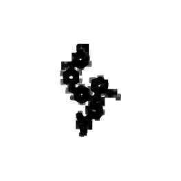 Cc1nn(C)nc1-c1ccc2nc(-c3cccnc3N)n(-c3ccc(CN4CCC(Nc5ccnc(C#N)n5)CC4)cc3)c2n1